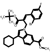 COC(=O)c1ccc2c(C3CCCCC3)cn(CC(=Cc3cc(F)ccc3Br)C(=O)OC(C)(C)C)c2c1